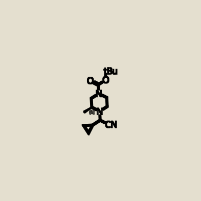 C[C@H]1CN(C(=O)OC(C)(C)C)CCN1C(C#N)C1CC1